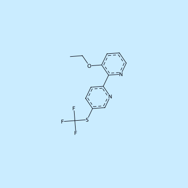 CCOc1cccnc1-c1ccc(SC(F)(F)F)cn1